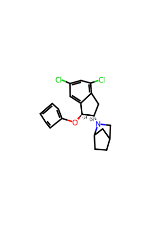 Clc1cc(Cl)c2c(c1)[C@H](Oc1ccccc1)[C@@H](N1CC3CCC1C3)C2